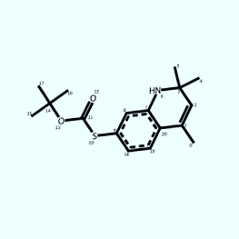 CC1=CC(C)(C)Nc2cc(SC(=O)OC(C)(C)C)ccc21